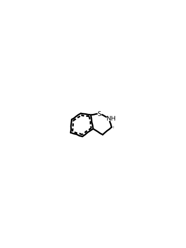 [C]1Cc2ccccc2SN1